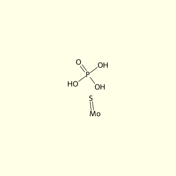 O=P(O)(O)O.[S]=[Mo]